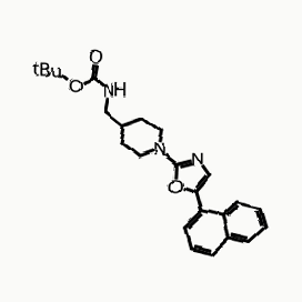 CC(C)(C)OC(=O)NCC1CCN(c2ncc(-c3cccc4ccccc34)o2)CC1